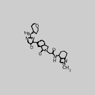 Cn1cc2c(n1)CCCC2NC(=O)CN1Cc2ccc(-c3nc(NC4CCOCC4)ncc3Cl)cc2C1=O